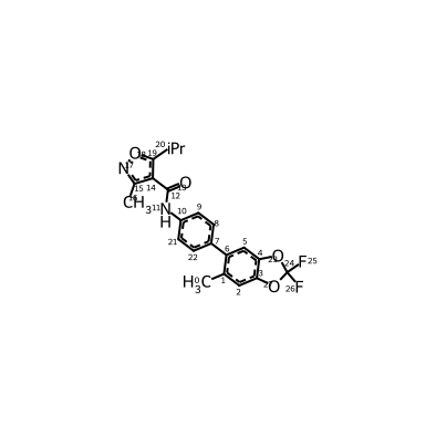 Cc1cc2c(cc1-c1ccc(NC(=O)c3c(C)noc3C(C)C)cc1)OC(F)(F)O2